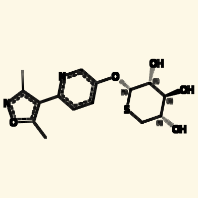 Cc1noc(C)c1-c1ccc(O[C@H]2SC[C@@H](O)[C@H](O)[C@H]2O)cn1